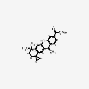 C=C(c1ccc(C(=O)OC)cc1)c1cc2c(cc1Cl)C(C)(C)CCC21CC1